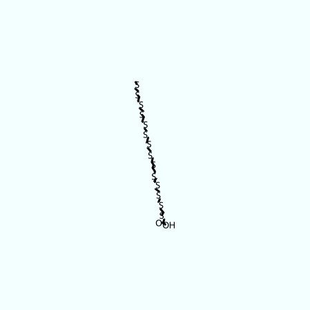 CSCCSCCSCCSCCSCCSCCSCCSCCSCCSCCSCCSCCSCCSCC(=O)O